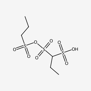 CCCS(=O)(=O)OS(=O)(=O)C(CC)S(=O)(=O)O